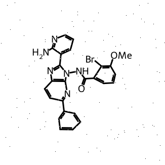 COc1cccc(C(=O)Nn2c(-c3cccnc3N)nc3ccc(-c4ccccc4)nc32)c1Br